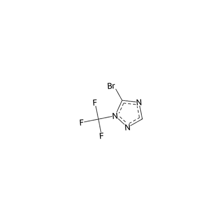 FC(F)(F)n1ncnc1Br